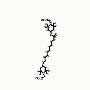 CCCCCCCCON1C(C)(C)CC(OCCCCCCCCCC(=O)OC2CC(C)(C)N(OCCCCCCCC)C(C)(C)C2)CC1(C)C